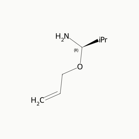 C=CCO[C@@H](N)C(C)C